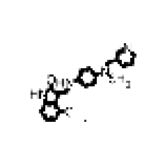 Cc1cccc2c1C(=CNc1ccc(N(C)Cc3cccnc3)cc1)C(=O)N2